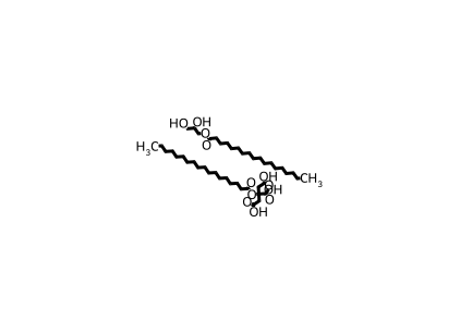 CCCCCCCCCCCCCCCCCC(=O)OC(CC(=O)O)(CC(=O)O)C(=O)O.CCCCCCCCCCCCCCCCCC(=O)OCC(O)CO